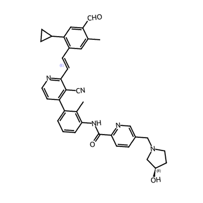 Cc1cc(/C=C/c2nccc(-c3cccc(NC(=O)c4ccc(CN5CC[C@@H](O)C5)cn4)c3C)c2C#N)c(C2CC2)cc1C=O